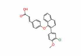 COc1ccc(-c2ccc3ccccc3c2Oc2ccc(C=CC(=O)O)cc2)cc1Cl